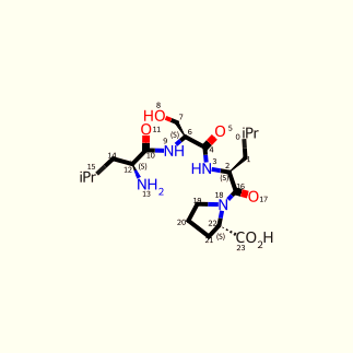 CC(C)C[C@H](NC(=O)[C@H](CO)NC(=O)[C@@H](N)CC(C)C)C(=O)N1CCC[C@H]1C(=O)O